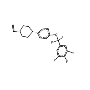 C=C[C@H]1CC[C@H](c2ccc(OC(F)(F)c3cc(F)c(F)c(F)c3)cc2)CC1